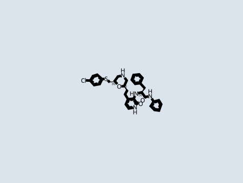 O=C(Nc1ccccc1)[C@H](Cc1ccccc1)Nc1c(CC[C@@H]2CNC[C@@H](CSc3ccc(Cl)cc3)O2)cc[nH]c1=O